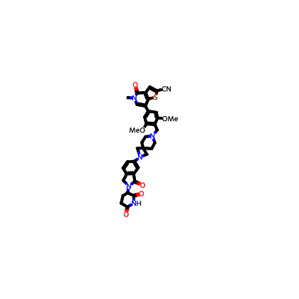 COc1cc(-c2cn(C)c(=O)c3cc(C#N)sc23)cc(OC)c1CN1CCC2(CC1)CN(c1ccc3c(c1)C(=O)N(C1CCC(=O)NC1=O)C3)C2